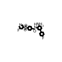 Nc1ccc(-c2ccc(F)cc2)cc1NC(=O)c1ccc(S(=O)(=O)c2cncc(F)c2)cc1